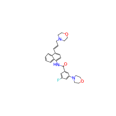 O=C(Nc1ccc(C=CCN2CCOCC2)c2ccccc12)c1cc(F)cc(N2CCOCC2)c1